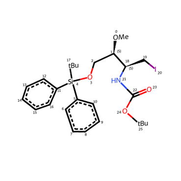 CO[C@H](CO[Si](c1ccccc1)(c1ccccc1)C(C)(C)C)[C@@H](CI)NC(=O)OC(C)(C)C